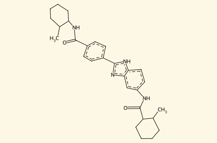 CC1CCCCC1NC(=O)c1ccc(-c2nc3cc(NC(=O)C4CCCCC4C)ccc3[nH]2)cc1